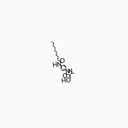 CCCCCCCCCC(=O)Nc1ccc(N2N=C(C)/C(=C/O)C2=O)cc1